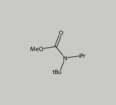 COC(=O)N(C(C)C)C(C)(C)C